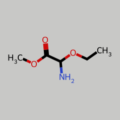 CCOC(N)C(=O)OC